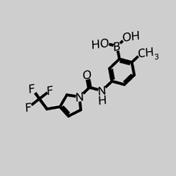 Cc1ccc(NC(=O)N2CC=C(CC(F)(F)F)C2)cc1B(O)O